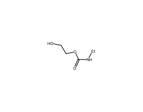 [CH2]CNC(=O)OCCO